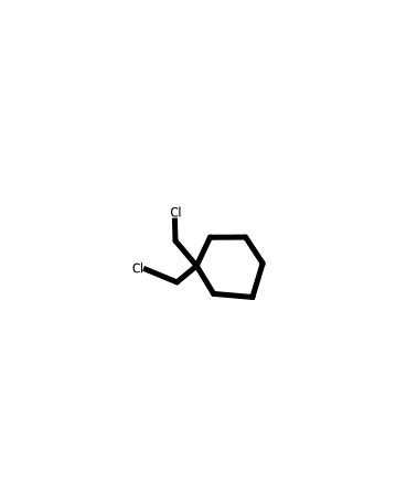 ClCC1(CCl)CCCCC1